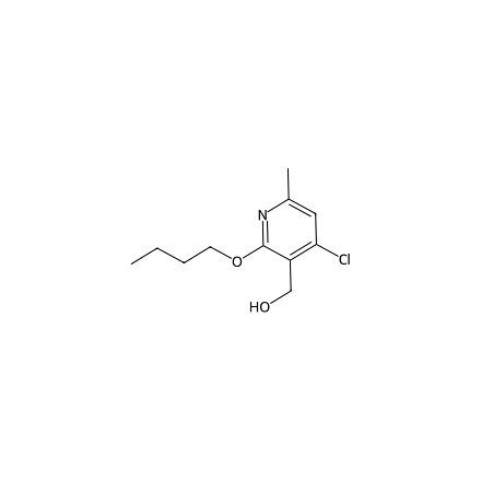 CCCCOc1nc(C)cc(Cl)c1CO